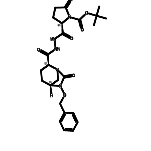 CC(C)(C)OC(=O)N1C(=O)CC[C@@H]1C(=O)NNC(=O)[C@@H]1CC[C@@H]2CN1C(=O)N2OCc1ccccc1